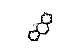 C1=Cc2ccncc2Nc2ccccc21